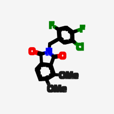 COc1ccc2c(c1OC)C(=O)N(Cc1cc(Cl)c(F)cc1F)C2=O